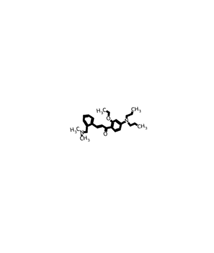 CCCN(CCC)c1ccc(C(=O)C=Cc2ccccc2CN(C)C)c(OCC)c1